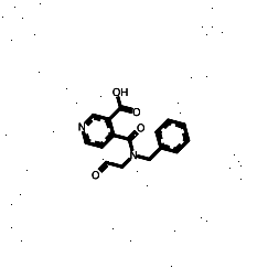 O=CCN(Cc1ccccc1)C(=O)c1ccncc1C(=O)O